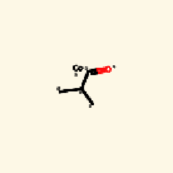 CC(C)C=O.[Co]